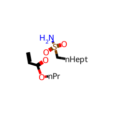 C=CC(=O)OCCC.CCCCCCCCS(N)(=O)=O